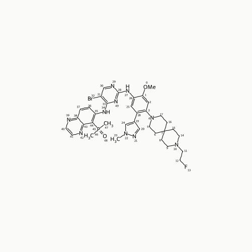 COc1cc(N2CCC3(CCN(CCF)CC3)CC2)c(-c2cnn(C)c2)cc1Nc1ncc(Br)c(Nc2ccc3nccnc3c2P(C)(C)=O)n1